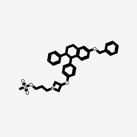 CS(=O)(=O)OCCCN1CC(Oc2ccc(C3c4ccc(OCc5ccccc5)cc4CCC3c3ccccc3)cc2)C1